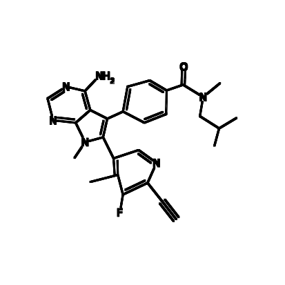 C#Cc1ncc(-c2c(-c3ccc(C(=O)N(C)CC(C)C)cc3)c3c(N)ncnc3n2C)c(C)c1F